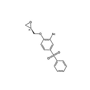 CC(=O)c1cc(S(=O)(=O)c2ccccc2)ccc1OC[C@H]1CO1